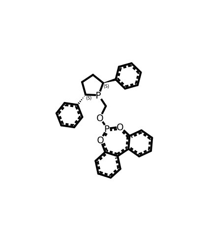 c1ccc([C@@H]2CC[C@@H](c3ccccc3)P2COp2oc3ccccc3c3ccccc3o2)cc1